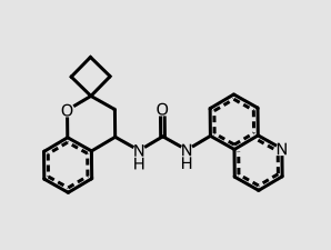 O=C(Nc1cccc2ncccc12)NC1CC2(CCC2)Oc2ccccc21